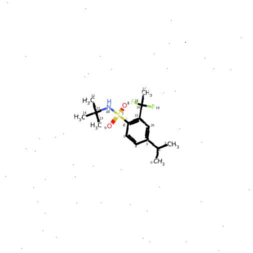 CC(C)c1ccc(S(=O)(=O)NC(C)(C)C)c(C(C)(F)F)c1